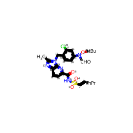 CCCC=CS(=O)(=O)NC(=O)c1ccc2nc(C)n(Cc3ccc(N(C=O)OC(C)(C)C)cc3Cl)c2n1